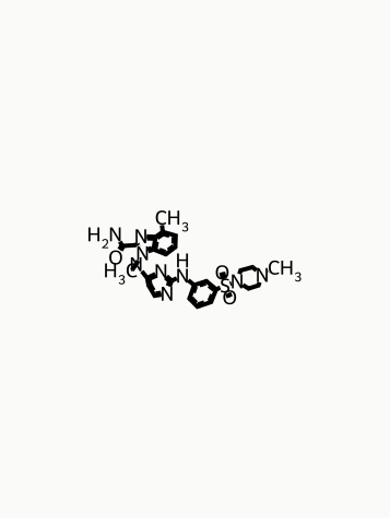 Cc1cccc2c1nc(C(N)=O)n2N(C)c1ccnc(Nc2cccc(S(=O)(=O)N3CCN(C)CC3)c2)n1